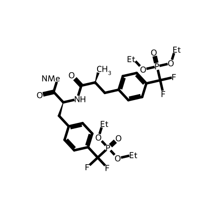 CCOP(=O)(OCC)C(F)(F)c1ccc(C[C@H](NC(=O)[C@@H](C)Cc2ccc(C(F)(F)P(=O)(OCC)OCC)cc2)C(=O)NC)cc1